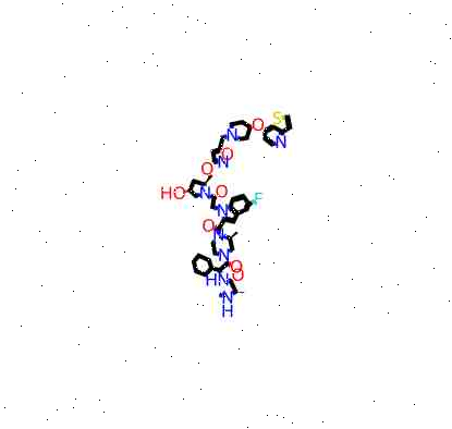 CN[C@@H](C)C(=O)NC(C(=O)N1CCN(C(=O)c2cc3cc(F)ccc3n2CC(=O)N2C[C@@H](O)C[C@H]2COc2cc(CN3CCC(Oc4ccnc5ccsc45)CC3)on2)[C@@H](C)C1)C1CCCCC1